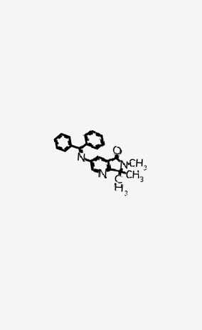 CN1C(=O)c2cc(N=C(c3ccccc3)c3ccccc3)cnc2C1(C)C